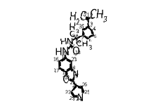 C=C(C)c1cccc(C(C)(C)NC(=O)Nc2ccc3oc(-c4ccncc4)nc3c2)c1